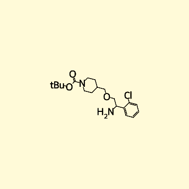 CC(C)(C)OC(=O)N1CCC(COCC(N)c2ccccc2Cl)CC1